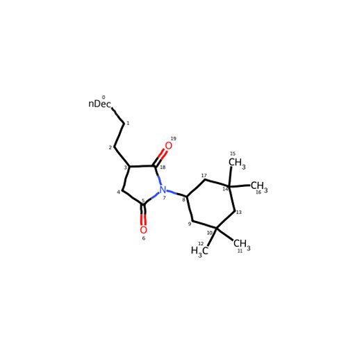 CCCCCCCCCCCCC1CC(=O)N(C2CC(C)(C)CC(C)(C)C2)C1=O